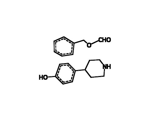 O=COCc1ccccc1.Oc1ccc(C2CCNCC2)cc1